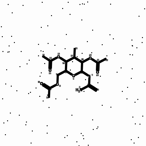 C=C(N)SC1OC(COC(C)=O)C(OC(C)=O)C(C)C1OC(C)=O